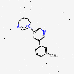 COc1cccc(-c2cncc(N3CCN4CCCC3CC4)c2)c1